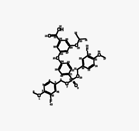 COc1ccc(COP(=O)(OCc2ccc(OC)c(F)c2)c2ccc(Oc3cc(OC(C)C)cc(C(=O)O)c3)cc2)cc1F